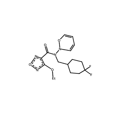 CCOc1nonc1C(=O)N(CC1CCC(F)(F)CC1)N1C=CC=CO1